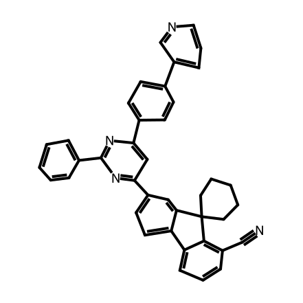 N#Cc1cccc2c1C1(CCCCC1)c1cc(-c3cc(-c4ccc(-c5cccnc5)cc4)nc(-c4ccccc4)n3)ccc1-2